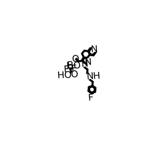 O=C(O)C(F)(F)F.O=C(O)c1c2c(nn1CCCNCCc1ccc(F)cc1)-c1ccncc1CC2